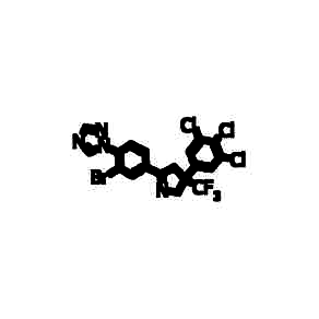 FC(F)(F)C1(c2cc(Cl)c(Cl)c(Cl)c2)CN=C(c2ccc(-n3cncn3)c(Br)c2)C1